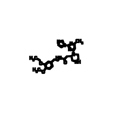 CCOc1cc(CCNC(=O)CC2CNCCN2c2cc(C)nc(-n3ccnc3)n2)ccc1OC